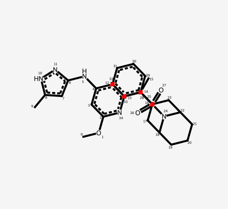 COc1cc(Nc2cc(C)[nH]n2)nc(N(C)C2CC3CCCC(C2)N3S(=O)(=O)c2ccccn2)n1